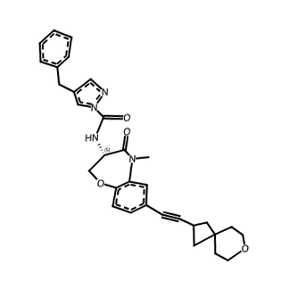 CN1C(=O)[C@@H](NC(=O)n2cc(Cc3ccccc3)cn2)COc2ccc(C#CC3CC4(CCOCC4)C3)cc21